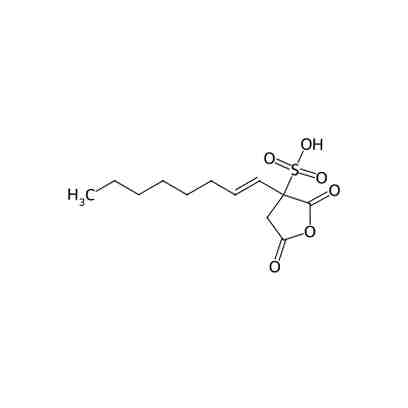 CCCCCCC=CC1(S(=O)(=O)O)CC(=O)OC1=O